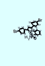 NS(=O)(=O)c1ccccc1-n1nc(-c2ccc(Br)cc2)cc1-c1ccc(Br)cc1